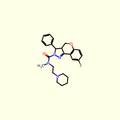 CN(CCN1CCCCC1)C(=O)N1N=C2c3cc(F)ccc3OCC2C1c1ccccc1